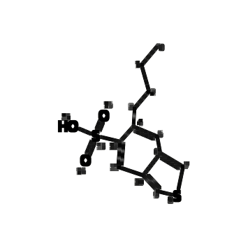 CCCCc1cc2cscc2cc1S(=O)(=O)O